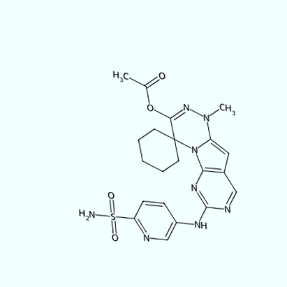 CC(=O)OC1=NN(C)c2cc3cnc(Nc4ccc(S(N)(=O)=O)nc4)nc3n2C12CCCCC2